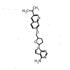 CC(C)c1cnc2cc(OCC3CCC(n4ccc5c(N)ncnc54)O3)ccc2c1